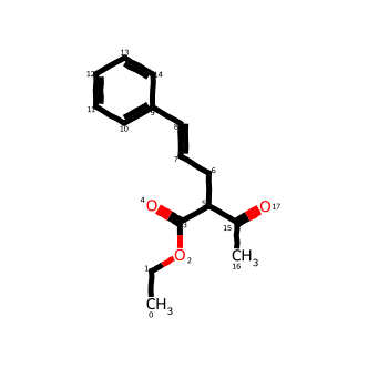 CCOC(=O)C(CC=Cc1ccccc1)C(C)=O